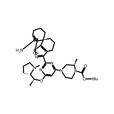 C[C@H](Oc1cc(N2CCN(C(=O)OC(C)(C)C)[C@H](C)C2)nc(-c2noc3c2CCC[C@@]32CCCc3sc(N)c(C#N)c32)n1)[C@@H]1CCCN1C